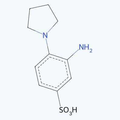 Nc1cc(S(=O)(=O)O)ccc1N1CCCC1